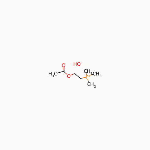 CC(=O)OCC[P+](C)(C)C.[OH-]